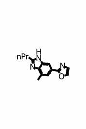 CCCc1nc2c(C)cc(-c3ncco3)cc2[nH]1